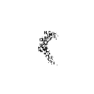 CN1CCN(C2CCC(n3nc(-c4ccc(NC(=O)OC(C)(C)C)c(Cl)c4)c4c(N)ncnc43)CC2)CC1